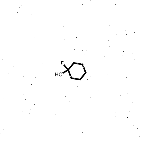 OC1(F)C[CH]CCC1